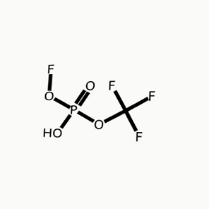 O=P(O)(OF)OC(F)(F)F